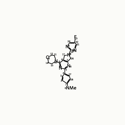 CNc1ccc(-c2nc3c(c(N4CCOCC4)n2)CN(c2ncc(F)cn2)C3)cc1